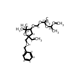 CCC1(COCc2ccccc2)CC(OCOC(C)OC(C)OC)C(C)(C)O1